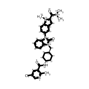 Cc1ncc(Cl)cc1C(=O)N[C@H]1CC[C@H](Cn2c(=O)n(-c3ccc4c(c3)cc(C(=O)N(C)C)n4C)c3ccccc32)CC1